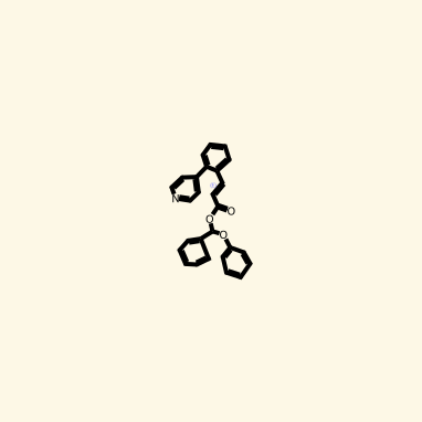 O=C(/C=C/c1ccccc1-c1ccncc1)OC(Oc1ccccc1)c1ccccc1